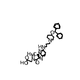 Cc1c(C(=O)NCC(=O)O)nc2ccc(NCCCN3CCC(OC(c4ccccc4)c4ccccc4)CC3)nn12